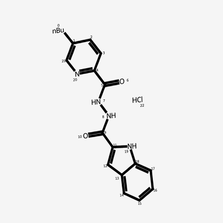 CCCCc1ccc(C(=O)NNC(=O)c2cc3ccccc3[nH]2)nc1.Cl